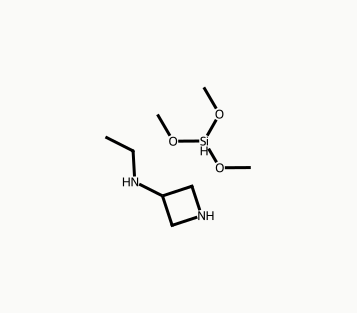 CCNC1CNC1.CO[SiH](OC)OC